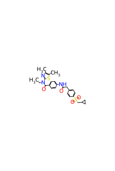 CCN(C(=O)c1ccc(NC(=O)Cc2ccc(S(=O)(=O)CC3CC3)cc2)cc1)c1nc(C)c(C)s1